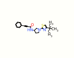 CC(C)(C)c1csc(N2CCC(NC(=O)C#Cc3ccccc3)C2)n1